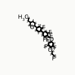 CCCC1CCC(c2ccc(-c3cc(F)c(C(F)(F)Oc4cc(F)c(OCCCF)c(F)c4)c(F)c3)c(F)c2)OC1